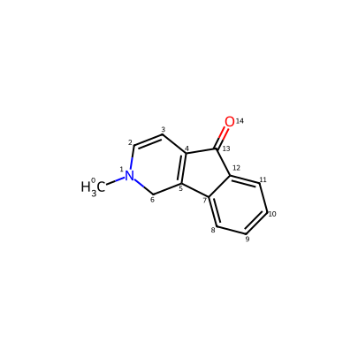 CN1C=CC2=C(C1)c1ccccc1C2=O